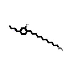 BCCCCCCCCCCCc1ccc(/C=C/CC)cc1Cl